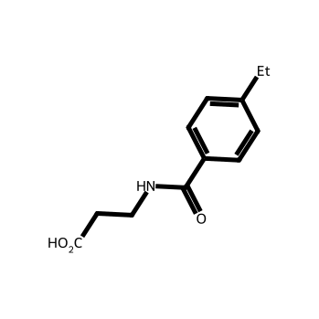 CCc1ccc(C(=O)NCCC(=O)O)cc1